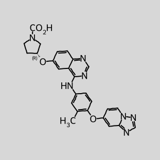 Cc1cc(Nc2ncnc3ccc(O[C@@H]4CCN(C(=O)O)C4)cc23)ccc1Oc1ccn2ncnc2c1